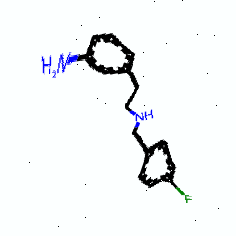 Nc1cccc(CCNCc2ccc(F)cc2)c1